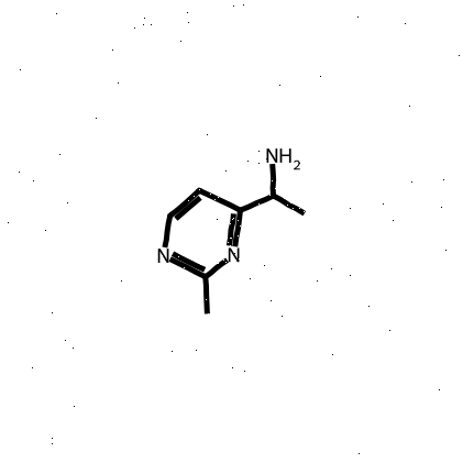 Cc1nccc(C(C)N)n1